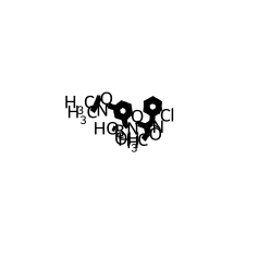 Cc1onc(-c2ccccc2Cl)c1C(=O)N[C@H](B(O)O)c1cccc(C2=NC(C)(C)CO2)c1